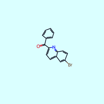 O=C(c1ccccc1)c1ccc2cc(Br)ccc2n1